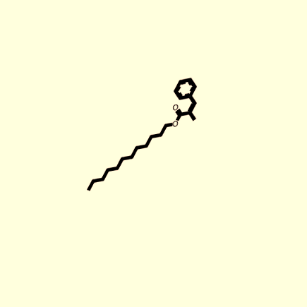 CCCCCCCCCCCCOC(=O)C(C)=Cc1ccccc1